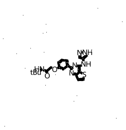 CC(C)(C)NC(=O)COc1cccc(-c2nc(Nc3cn[nH]c3)c3sccc3n2)c1